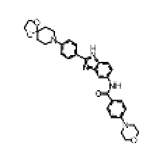 O=C(Nc1ccc2[nH]c(-c3ccc(N4CCC5(CC4)OCCO5)cc3)nc2c1)c1ccc(N2CCOCC2)cc1